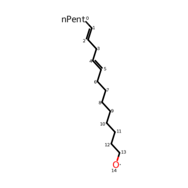 CCCCCC=CCC=CCCCCCCCC[O]